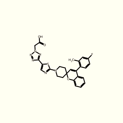 Cc1cc(F)ccc1C1=CC2(CCN(c3ncc(-c4nnn(CC(=O)O)n4)s3)CC2)Oc2ccccc21